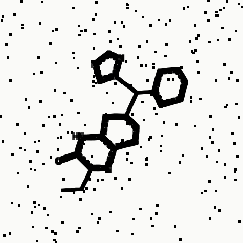 CCc1nc2ccc(C(c3ccccc3)n3cncn3)cc2[nH]c1=O